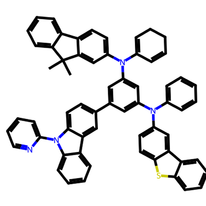 CC1(C)c2ccccc2-c2ccc(N(C3=CCCC=C3)c3cc(-c4ccc5c(c4)c4ccccc4n5-c4ccccn4)cc(N(c4ccccc4)c4ccc5sc6ccccc6c5c4)c3)cc21